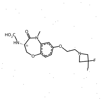 CN1C(=O)[C@@H](NC(=O)O)COc2ccc(OCCN3CC(F)(F)C3)cc21